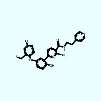 Nc1nc(-c2cc(Nc3ccc(Cl)cc3CF)ccc2O)ccc1C(=O)NCCc1ccncc1